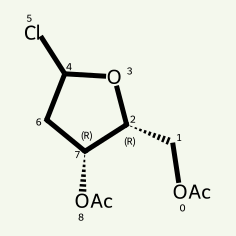 CC(=O)OC[C@H]1OC(Cl)C[C@H]1OC(C)=O